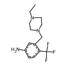 CCN1CCN(Cc2cc(N)ccc2C(F)(F)F)CC1